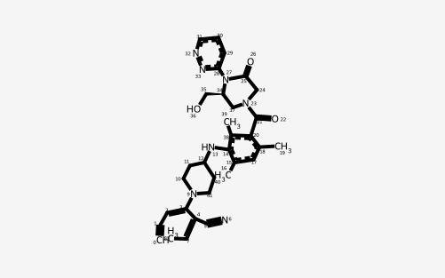 C#C/C=C(\C(C#N)=C/C)N1CCC(Nc2c(C)cc(C)c(C(=O)N3CC(=O)N(c4cccnn4)[C@H](CO)C3)c2C)CC1